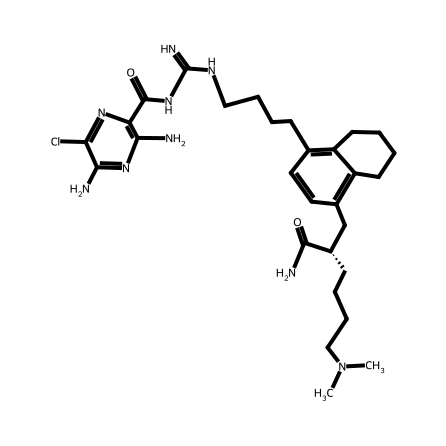 CN(C)CCCC[C@@H](Cc1ccc(CCCCNC(=N)NC(=O)c2nc(Cl)c(N)nc2N)c2c1CCCC2)C(N)=O